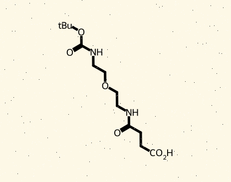 CC(C)(C)OC(=O)NCCOCCNC(=O)CCC(=O)O